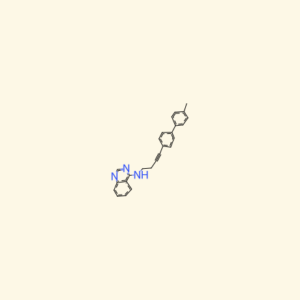 Cc1ccc(-c2ccc(C#CCCNc3ncnc4ccccc34)cc2)cc1